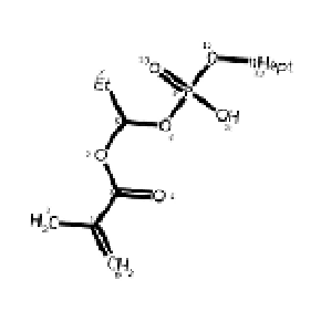 C=C(C)C(=O)OC(CC)OP(=O)(O)OCCCCCCC